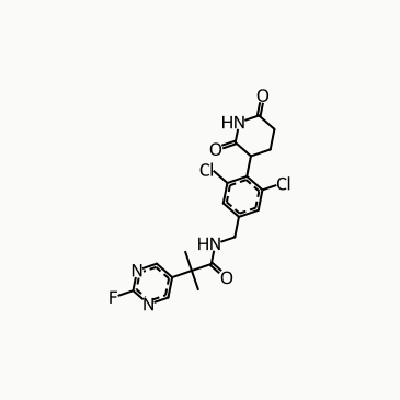 CC(C)(C(=O)NCc1cc(Cl)c(C2CCC(=O)NC2=O)c(Cl)c1)c1cnc(F)nc1